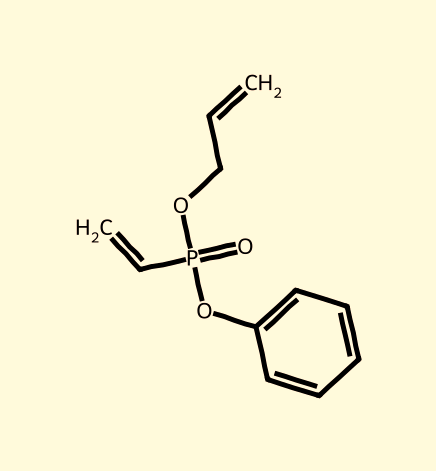 C=CCOP(=O)(C=C)Oc1ccccc1